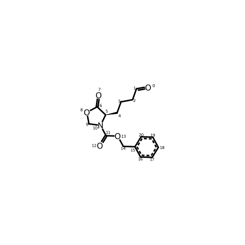 O=CCCC[C@@H]1C(=O)OCN1C(=O)OCc1ccccc1